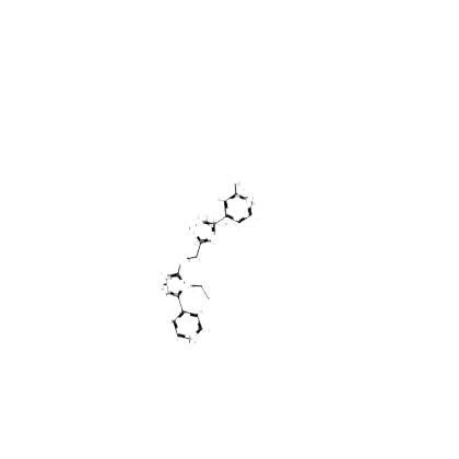 CCn1c(SCc2nnc(-c3ccnc(Cl)c3)o2)nnc1-c1ccncc1